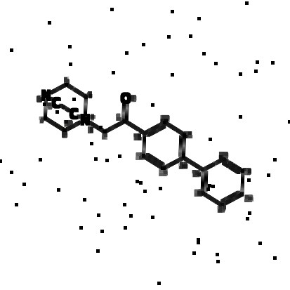 O=C(C[N+]12CCN(CC1)CC2)c1ccc(-c2ccccc2)cc1